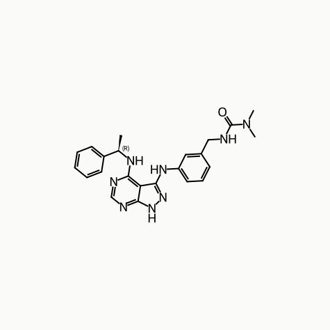 C[C@@H](Nc1ncnc2[nH]nc(Nc3cccc(CNC(=O)N(C)C)c3)c12)c1ccccc1